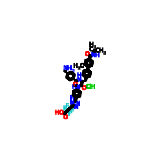 Cc1cc(C(=O)NC(C)C)ccc1-c1ccc(C[C@H](NC(=O)[C@H]2CC[C@H](CN)CC2)C(=O)Nc2ccc(-c3nnc(C(F)(F)C(F)(F)C(=O)O)[nH]3)cc2)cc1.Cl